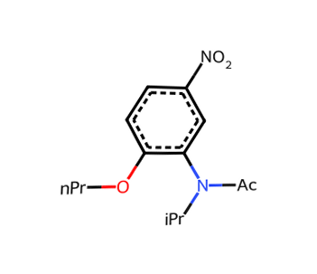 CCCOc1ccc([N+](=O)[O-])cc1N(C(C)=O)C(C)C